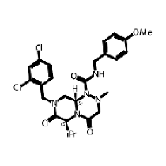 COc1ccc(CNC(=O)N2[C@H]3CN(Cc4ccc(Cl)cc4Cl)C(=O)[C@H](C(C)C)N3C(=O)CN2C)cc1